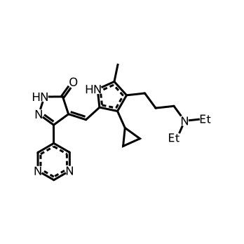 CCN(CC)CCCc1c(C)[nH]c(C=C2C(=O)NN=C2c2cncnc2)c1C1CC1